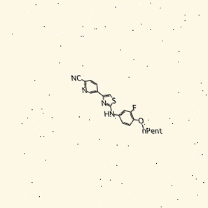 CCCCCOc1ccc(Nc2nc(-c3ccc(C#N)nc3)cs2)cc1F